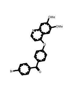 COc1cc2nccc(Oc3ccc(C(=O)c4ccc(Br)cc4)cc3)c2cc1OC